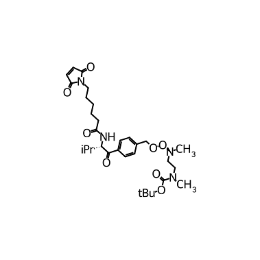 CC(C)[C@H](NC(=O)CCCCCN1C(=O)C=CC1=O)C(=O)c1ccc(COON(C)CCN(C)C(=O)OC(C)(C)C)cc1